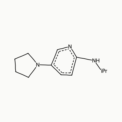 CC(C)Nc1ccc(N2CCCC2)cn1